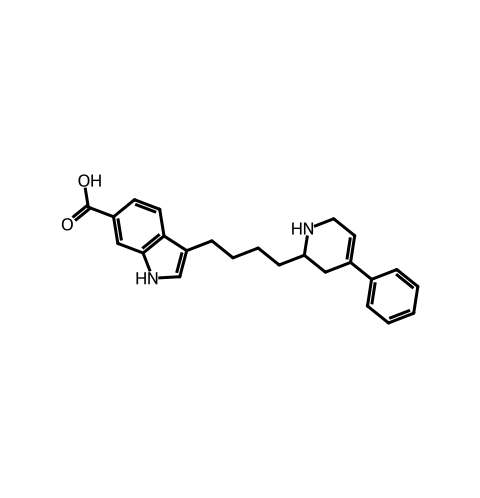 O=C(O)c1ccc2c(CCCCC3CC(c4ccccc4)=CCN3)c[nH]c2c1